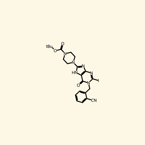 CC(C)(C)OC(=O)N1CCN(c2nc3nc(I)n(Cc4ccccc4C#N)c(=O)c3[nH]2)CC1